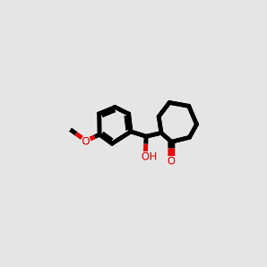 COc1cccc(C(O)C2CCCCCC2=O)c1